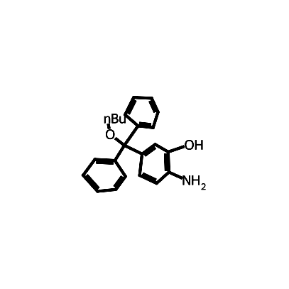 CCCCOC(c1ccccc1)(c1ccccc1)c1ccc(N)c(O)c1